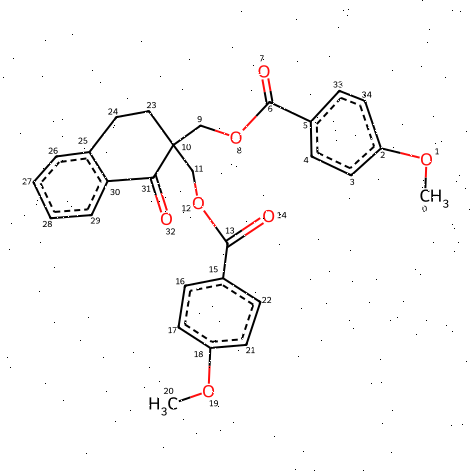 COc1ccc(C(=O)OCC2(COC(=O)c3ccc(OC)cc3)CCc3ccccc3C2=O)cc1